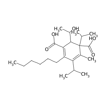 CCCCCCC1=C(C(=O)O)C(C(C)O)C(C(=O)O)(C(C)C)C(C)=C1C(C)C